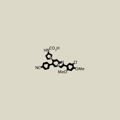 COc1cc(OC)c(-c2cn3cc(-c4ccc(C#N)cc4)c(N4CCC(NC(=O)O)C4)cc3n2)cc1Cl